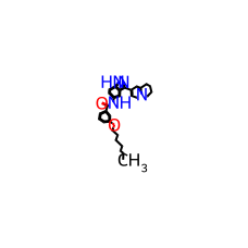 CCCCCCCOc1cccc(C(=O)Nc2ccc3[nH]nc(C4=CCN5CCCCC5C4)c3c2)c1